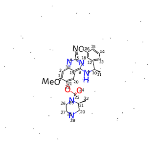 COc1cc2nc(C)nc(N[C@H](C)c3cccc(C#N)c3)c2cc1OC(=O)N1CCN(C)C[C@@H]1C